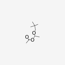 CC(=O)OC(C)OCC(C)(C)C